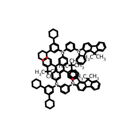 CC(C)(C)c1ccccc1-c1c2ccc(N(c3cc(C4CCCCC4)cc(C4CCCCC4)c3)c3cccc(-n4c5ccccc5c5c6c(ccc54)-c4ccccc4C6(C)C)c3)cc2c(-c2ccccc2C(C)(C)C)c2ccc(N(c3cc(C4CCCCC4)cc(C4CCCCC4)c3)c3cccc(-n4c5ccccc5c5c6c(ccc54)-c4ccccc4C6(C)C)c3)cc12